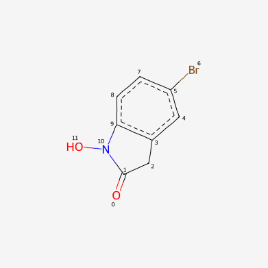 O=C1Cc2cc(Br)ccc2N1O